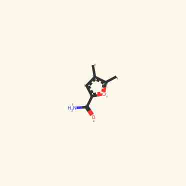 Cc1cc(C(N)=O)oc1C